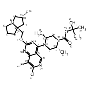 C[C@@H]1CN(c2nc(OC[C@@]34CCCN3C[C@H](F)C4)nc3c(F)c(Cl)ncc23)[C@@H](C)CN1C(=O)OC(C)(C)C